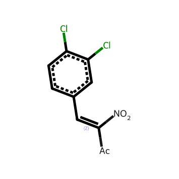 CC(=O)/C(=C/c1ccc(Cl)c(Cl)c1)[N+](=O)[O-]